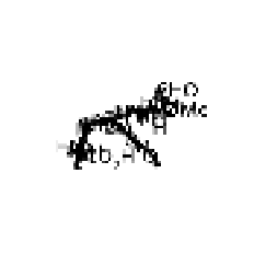 C#CCOCCOCCOCCOCCC(=O)N(CC(=O)NCCn1cc(CCC(=O)N[C@H]([C@@H]2N[C@@H](C(=O)O)C[C@H]2/C=C\C)C(C)(C)CCC)nn1)CC(=O)NCCn1cc(CCC(=O)N[C@H]([C@@H]2N[C@@H](OC=O)C[C@H]2/C=C\C)[C@](C)(CCC)OC)nn1